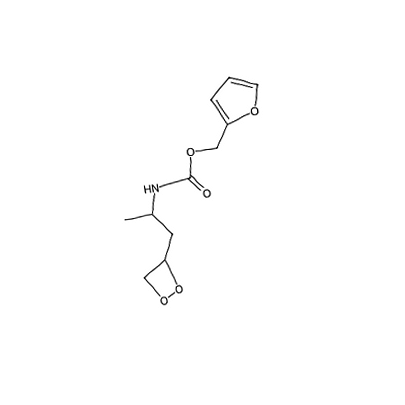 CC(CC1COO1)NC(=O)OCc1ccco1